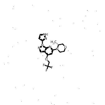 C[C@@H]1COCCN1c1cc(OCC(F)(F)F)c2cnn(-c3cc[nH]n3)c2n1